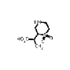 CC(C(=O)O)C1CNCCS1(=O)=O